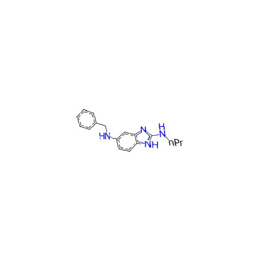 CCCNc1nc2cc(NCc3ccccc3)ccc2[nH]1